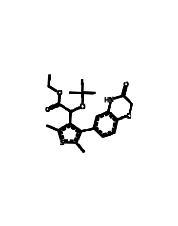 CCOC(=O)C(OC(C)(C)C)c1c(C)sc(C)c1-c1ccc2c(c1)NC(=O)CO2